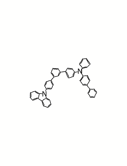 c1ccc(-c2ccc(N(c3ccccc3)c3ccc(-c4cccc(-c5ccc(-n6c7ccccc7c7ccccc76)cc5)c4)cc3)cc2)cc1